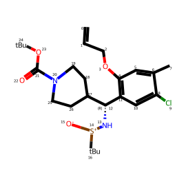 C=CCOc1cc(C)c(Cl)cc1[C@H](N[S+]([O-])C(C)(C)C)C1CCN(C(=O)OC(C)(C)C)CC1